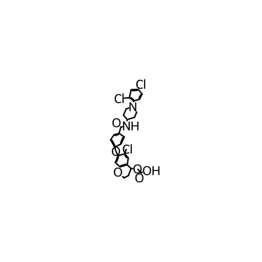 O=C(O)OC1CCOc2cc(Oc3ccc(C(=O)NC4CCN(c5ccc(Cl)cc5Cl)CC4)cc3)c(Cl)cc21